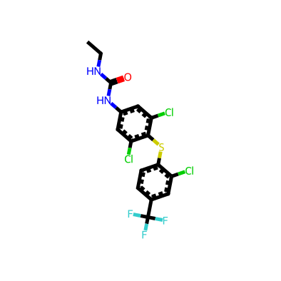 CCNC(=O)Nc1cc(Cl)c(Sc2ccc(C(F)(F)F)cc2Cl)c(Cl)c1